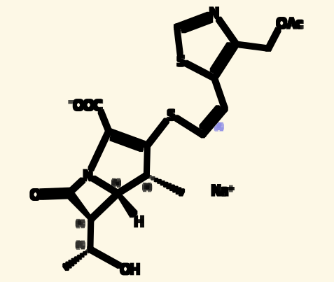 CC(=O)OCc1ncsc1/C=C\SC1=C(C(=O)[O-])N2C(=O)[C@H]([C@@H](C)O)[C@H]2[C@H]1C.[Na+]